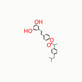 CC(C)Cc1ccc(C(C)C(=O)Oc2ccc(/C=C/c3cc(O)cc(O)c3)cc2)cc1